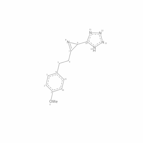 COc1ccc(CCC2=NC2c2nnn[nH]2)cc1